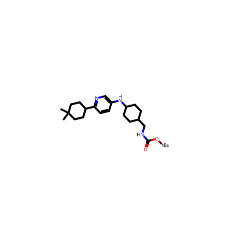 CC1(C)CCC(c2ccc(NC3CCC(CNC(=O)OC(C)(C)C)CC3)cn2)CC1